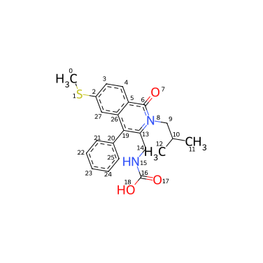 CSc1ccc2c(=O)n(CC(C)C)c(CNC(=O)O)c(-c3ccccc3)c2c1